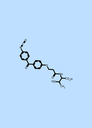 CC(O)C(NC(=O)CCOc1ccc(C(=O)c2ccc(N=C=O)cc2)cc1)C(=O)O